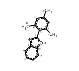 Cc1cc(C)c(-c2nc3ccccc3o2)c(C)c1